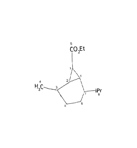 CCOC(=O)C1C2C(C)CCC(C(C)C)C12